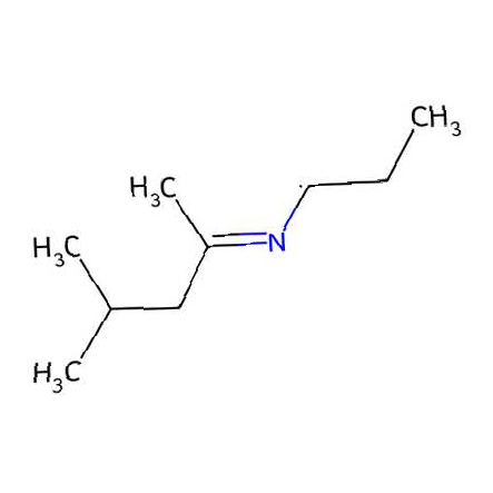 CC[CH]/N=C(\C)CC(C)C